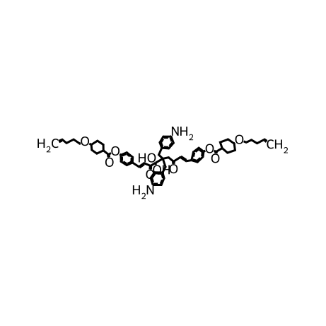 C=CCCCOC1CCC(C(=O)Oc2ccc(C=CC(=O)CC(Cc3ccc(N)cc3)(Cc3ccc(N)cc3)C(O)(O)C(=O)C=Cc3ccc(OC(=O)C4CCC(OCCCC=C)CC4)cc3)cc2)CC1